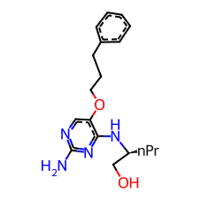 CCC[C@@H](CO)Nc1nc(N)ncc1OCCCc1ccccc1